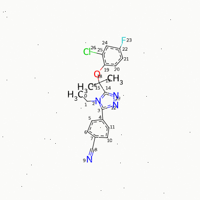 CCn1c(-c2ccc(C#N)cc2)nnc1C(C)(C)Oc1ccc(F)cc1Cl